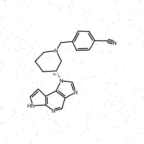 N#Cc1ccc(CN2CCC[C@@H](n3cnc4cnc5[nH]ccc5c43)C2)cc1